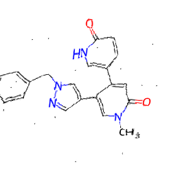 Cn1cc(-c2cnn(Cc3ccccc3)c2)c(-c2ccc(=O)[nH]c2)cc1=O